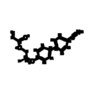 C=CC(=O)OC[C@@H](C)Oc1ccc(-c2ccc(C#N)cc2)cc1